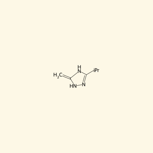 C=C1NN=C(C(C)C)N1